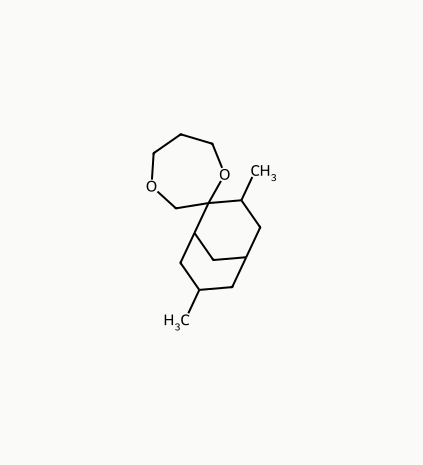 CC1CC2CC(C)C3(COCCCO3)C(C1)C2